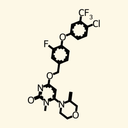 C=C1COCCN1c1cc(OCc2ccc(Oc3ccc(Cl)c(C(F)(F)F)c3)c(F)c2)nc(=O)n1C